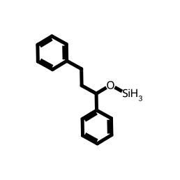 [SiH3]OC(CCc1ccccc1)c1ccccc1